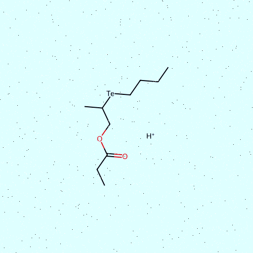 CCCC[Te]C(C)COC(=O)CC.[H+]